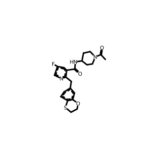 CC(=O)N1CCC(NC(=O)c2cc(F)cnc2Cc2ccc3c(c2)OCCS3)CC1